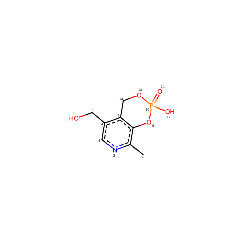 Cc1ncc(CO)c2c1OP(=O)(O)OC2